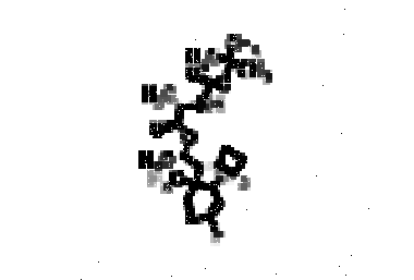 CC1C=C(F)C=CC1(C)[C@@H](C1CCC1)[C@H](C)OC(=O)[C@H](C)NC(=O)OC(C)(C)C